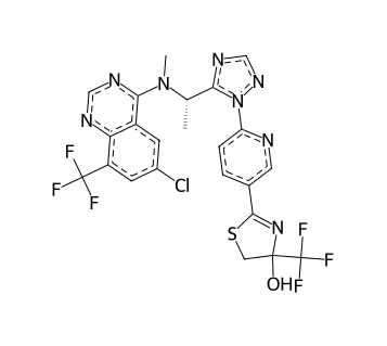 C[C@@H](c1ncnn1-c1ccc(C2=NC(O)(C(F)(F)F)CS2)cn1)N(C)c1ncnc2c(C(F)(F)F)cc(Cl)cc12